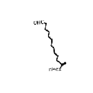 C=C(CCCCCC)CCCCCCCCCCC=O